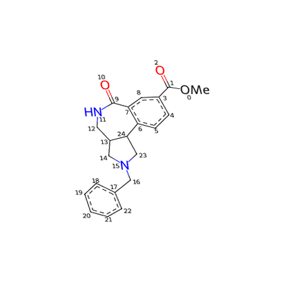 COC(=O)c1ccc2c(c1)C(=O)NCC1CN(Cc3ccccc3)CC21